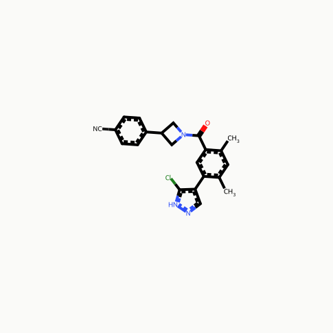 Cc1cc(C)c(-c2cn[nH]c2Cl)cc1C(=O)N1CC(c2ccc(C#N)cc2)C1